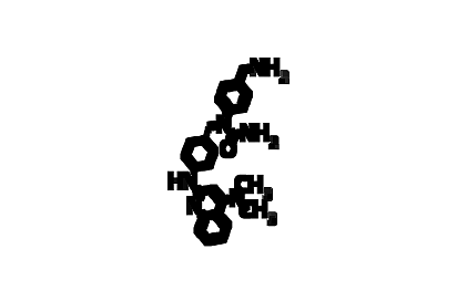 CN(C)c1cc(N[C@H]2CC[C@@H](CN(C(N)=O)c3ccc(CN)cc3)CC2)nc2ccccc12